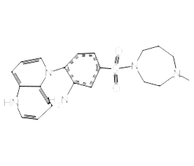 CN1CCCN(S(=O)(=O)c2ccc(N3C=CC=C4NC=CC=C43)c(N)c2)CC1